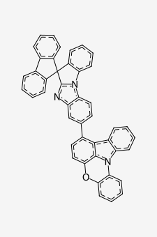 c1ccc2c(c1)Oc1ccc(-c3ccc4c(c3)nc3n4-c4ccccc4C34c3ccccc3-c3ccccc34)c3c4ccccc4n-2c13